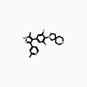 Cc1cc(-c2n[nH]c(C)c2-c2cc(F)c(N3CCC4(CCOCC4)C3)c(F)c2)ccn1